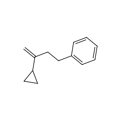 C=C(CCc1ccccc1)C1CC1